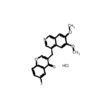 COc1cc2cncc(Cc3coc4ccc(F)cc4c3=O)c2cc1OC.Cl